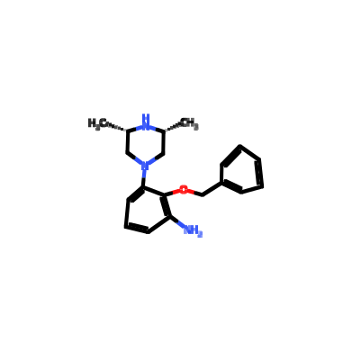 C[C@@H]1CN(c2cccc(N)c2OCc2ccccc2)C[C@H](C)N1